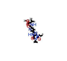 CCCn1c(=O)n(C2CC2)c(=O)c2[nH]c(-c3ccc(C(=O)N[C@H](C(=O)OC)C(C)C)nc3)nc21